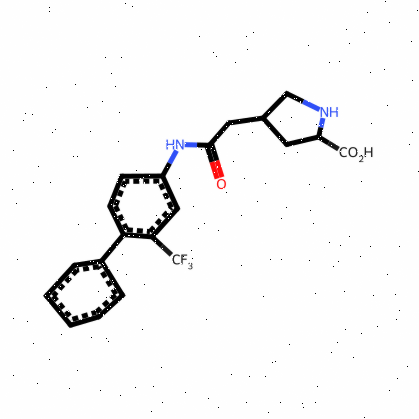 O=C(CC1CNC(C(=O)O)C1)Nc1ccc(-c2ccccc2)c(C(F)(F)F)c1